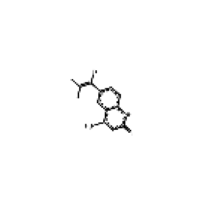 CCC(=C(C)C)c1ccc2[nH]c(=O)cc(N)c2c1